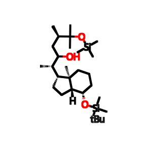 C[C@H](C(O)C[C@@H](C)C(C)(C)O[Si](C)(C)C)[C@H]1CC[C@H]2[C@@H](O[Si](C)(C)C(C)(C)C)CCC[C@]12C